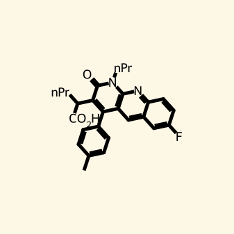 CCCC(C(=O)O)c1c(-c2ccc(C)cc2)c2cc3cc(F)ccc3nc2n(CCC)c1=O